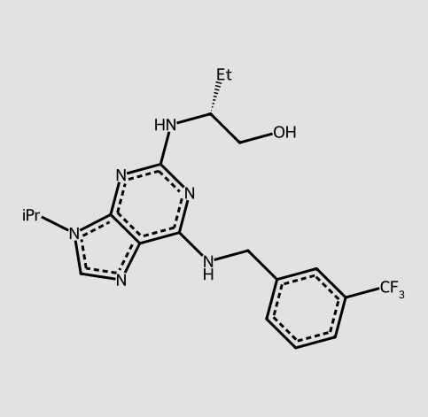 CC[C@H](CO)Nc1nc(NCc2cccc(C(F)(F)F)c2)c2ncn(C(C)C)c2n1